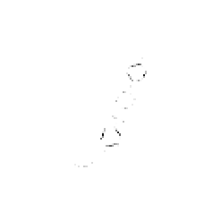 COCOc1ccc(S(=O)(=O)N2CCC(c3ccc(F)cc3)CC2)cc1Br